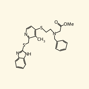 COC(=O)CN(CCSc1ccnc(CSc2nc3ccccc3[nH]2)c1C)Cc1ccccc1